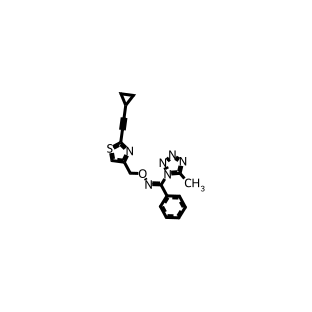 Cc1nnnn1C(=NOCc1csc(C#CC2CC2)n1)c1ccccc1